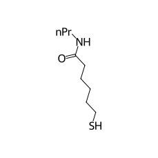 CCCNC(=O)CCCCCS